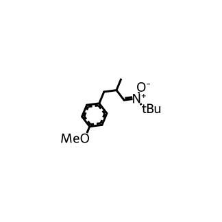 COc1ccc(CC(C)C=[N+]([O-])C(C)(C)C)cc1